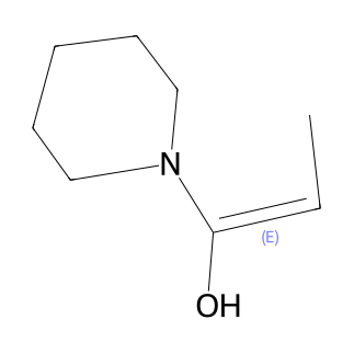 C/C=C(/O)N1CCCCC1